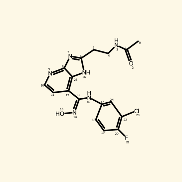 CC(=O)NCCc1nc2nccc(/C(=N\O)Nc3ccc(F)c(Cl)c3)c2[nH]1